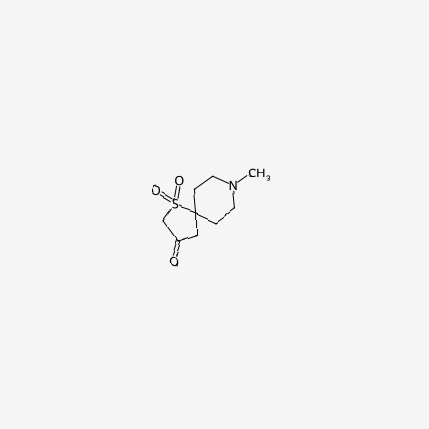 CN1CCC2(CC1)CC(=O)CS2(=O)=O